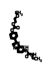 CCNC(=O)Nc1ccc2ncc(-c3ccc(OC(=O)OCCOC)cc3)nc2n1